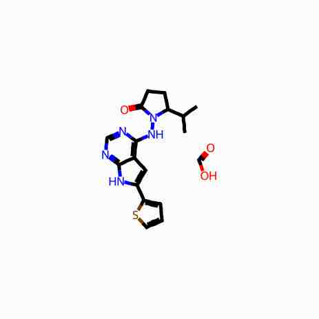 CC(C)C1CCC(=O)N1Nc1ncnc2[nH]c(-c3cccs3)cc12.O=CO